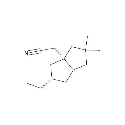 CC[C@H]1CC2CC(C)(C)C[C@]2(CC#N)C1